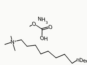 CCCCCCCCCCCCCCCCCC[N+](C)(C)C.COC(=O)O.N